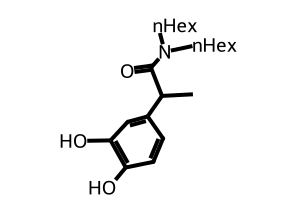 CCCCCCN(CCCCCC)C(=O)C(C)c1ccc(O)c(O)c1